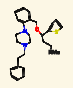 CNCCC(OCc1ccccc1N1CCN(CCc2ccccc2)CC1)c1cccs1